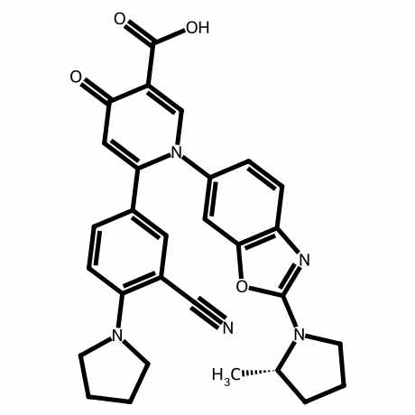 C[C@H]1CCCN1c1nc2ccc(-n3cc(C(=O)O)c(=O)cc3-c3ccc(N4CCCC4)c(C#N)c3)cc2o1